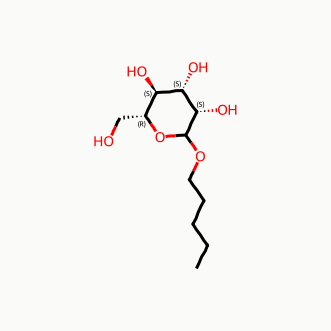 CCCCCOC1O[C@H](CO)[C@@H](O)[C@H](O)[C@@H]1O